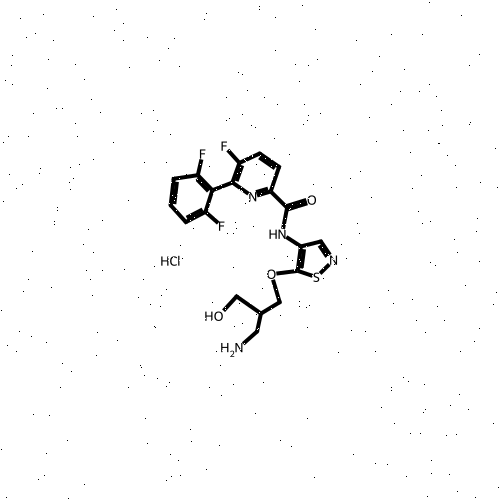 Cl.NCC(CO)COc1sncc1NC(=O)c1ccc(F)c(-c2c(F)cccc2F)n1